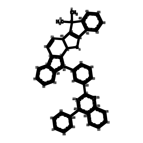 CC1(C)C2=C(SC3c4c(c5ccccc5n4-c4cccc(-c5nc(-c6ccccc6)c6ccccc6n5)c4)C=CC23)c2ccccc21